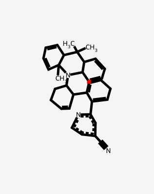 CC1(C)C2C=CC=CC2N(C2CCC=CC2C2=CCCC=C2c2cc(C#N)ccn2)C2(C)C=CC=CC12